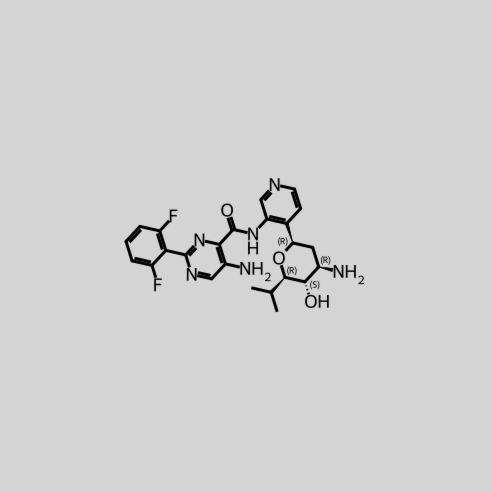 CC(C)[C@H]1O[C@@H](c2ccncc2NC(=O)c2nc(-c3c(F)cccc3F)ncc2N)C[C@@H](N)[C@@H]1O